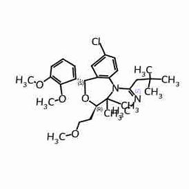 C/N=C(/CC(C)(C)C)N1c2ccc(Cl)cc2[C@@H](c2cccc(OC)c2OC)O[C@H](CCOC)C1(C)C